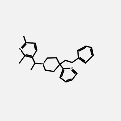 Cc1ccc(C(C)N2CCC(CCc3ccccc3)(c3ccccn3)CC2)c(C)n1